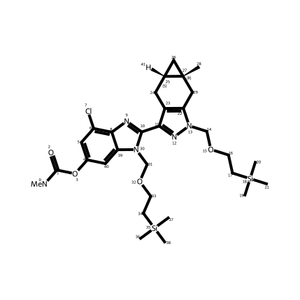 CNC(=O)Oc1cc(Cl)c2nc(-c3nn(COCC[Si](C)(C)C)c4c3C[C@@H]3C[C@]3(C)C4)n(COCC[Si](C)(C)C)c2c1